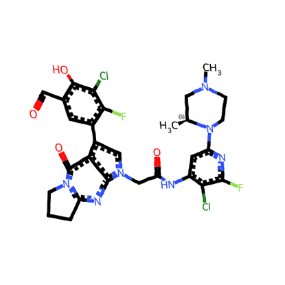 C[C@H]1CN(C)CCN1c1cc(NC(=O)Cn2cc(-c3cc(C=O)c(O)c(Cl)c3F)c3c(=O)n4c(nc32)CCC4)c(Cl)c(F)n1